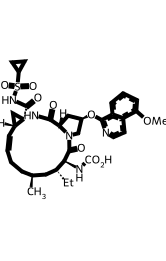 CC[C@@H]1C[C@@H](C)CCC=C[C@@H]2C[C@@]2(C(=O)NS(=O)(=O)C2CC2)NC(=O)[C@@H]2C[C@@H](Oc3nccc4c(OC)cccc34)CN2C(=O)[C@H]1NC(=O)O